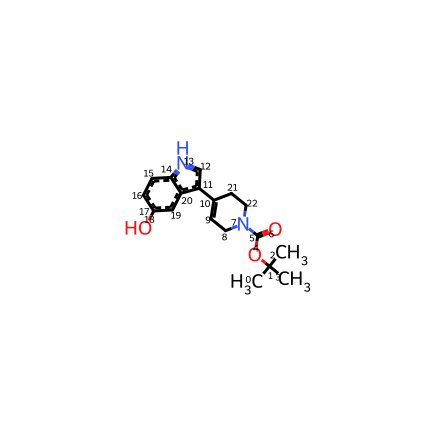 CC(C)(C)OC(=O)N1CC=C(c2c[nH]c3ccc(O)cc23)CC1